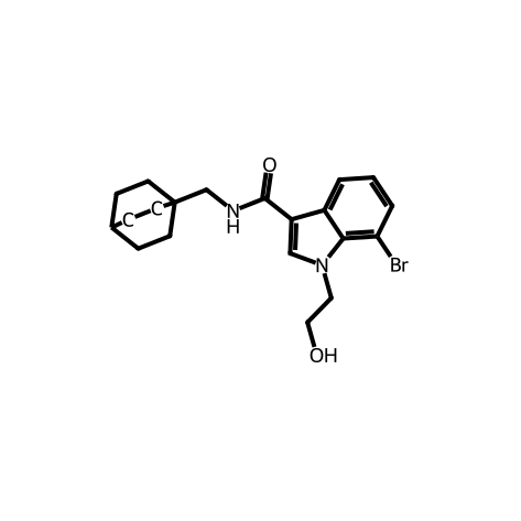 O=C(NCC12CCC(CC1)CC2)c1cn(CCO)c2c(Br)cccc12